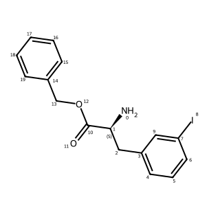 N[C@@H](Cc1cccc(I)c1)C(=O)OCc1ccccc1